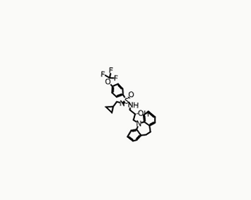 O=[S@@](=NCC1CC1)(NC[C@H](O)CN1c2ccccc2CCc2ccccc21)c1ccc(OC(F)(F)F)cc1